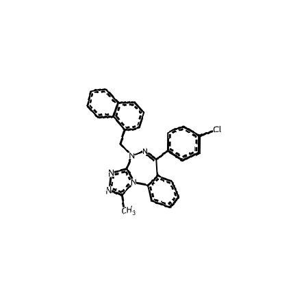 Cc1nnc2n1-c1ccccc1C(c1ccc(Cl)cc1)=NN2Cc1cccc2ccccc12